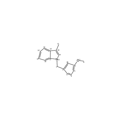 COc1cccc(Cn2cc(C)c3ccccc32)c1